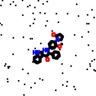 COc1cc(NC(C(=O)c2c[nH]c3ccccc23)c2ccccc2)ccc1N1CCCC1=O